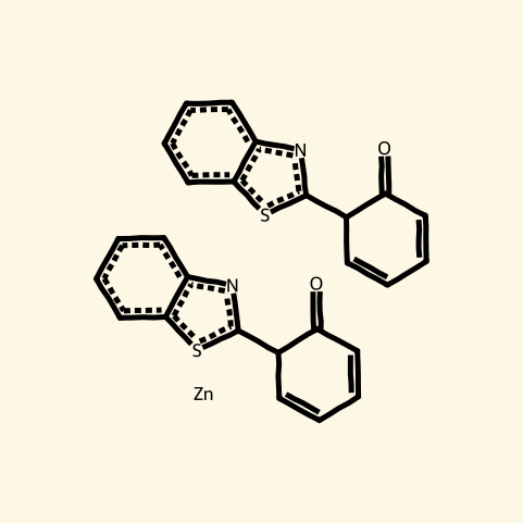 O=C1C=CC=CC1c1nc2ccccc2s1.O=C1C=CC=CC1c1nc2ccccc2s1.[Zn]